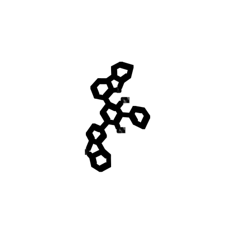 N#Cc1c(-c2ccc3sc4ccccc4c3c2)cc(-c2cccc3c2oc2ccccc23)c(C#N)c1-c1ccccc1